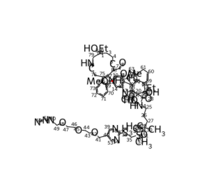 CC[C@]1(O)CCC[C@](C(=O)OC)(c2cc3c(cc2OC)N(C)[C@H]2[C@@](O)(C(=O)NCCC[Si](C)(C)O[Si](C)(C)CSc4ncc(COCCOCCOCN=[N+]=[N-])cn4)[C@H](O)[C@]4(CC)C=CCC5CC[C@]32[C@@H]54)c2[nH]c3ccccc3c2CCNC1